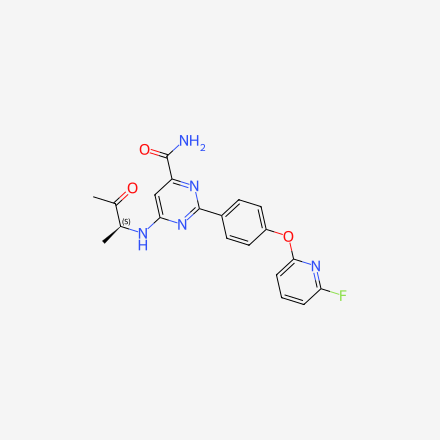 CC(=O)[C@H](C)Nc1cc(C(N)=O)nc(-c2ccc(Oc3cccc(F)n3)cc2)n1